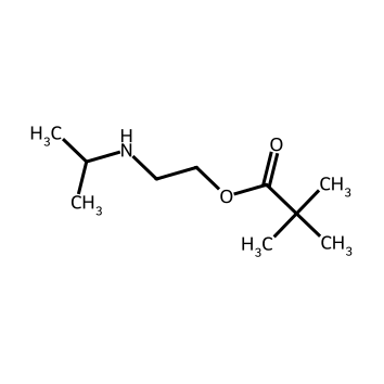 CC(C)NCCOC(=O)C(C)(C)C